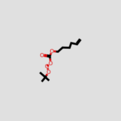 C=CCCCCOC(=O)OOOC(C)(C)C